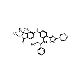 CCN1C(=O)c2ccc(Nc3cc(N[C@H](CO)c4ccccc4)c(-c4nc(N5CCOCC5)no4)cn3)cc2C1(C)C